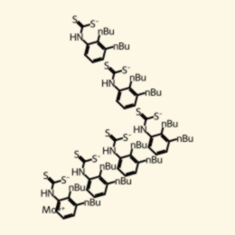 CCCCc1cccc(NC(=S)[S-])c1CCCC.CCCCc1cccc(NC(=S)[S-])c1CCCC.CCCCc1cccc(NC(=S)[S-])c1CCCC.CCCCc1cccc(NC(=S)[S-])c1CCCC.CCCCc1cccc(NC(=S)[S-])c1CCCC.CCCCc1cccc(NC(=S)[S-])c1CCCC.[Mo+6]